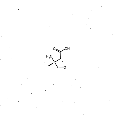 C[C@](N)(C=O)CC(=O)O